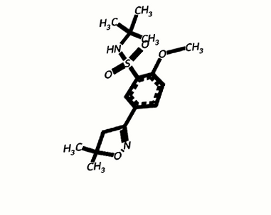 COc1ccc(C2=NOC(C)(C)C2)cc1S(=O)(=O)NC(C)(C)C